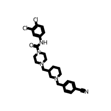 N#Cc1ccc(CN2CCCC(CN3CCN(C(=O)Nc4ccc(Cl)c(Cl)c4)CC3)C2)cc1